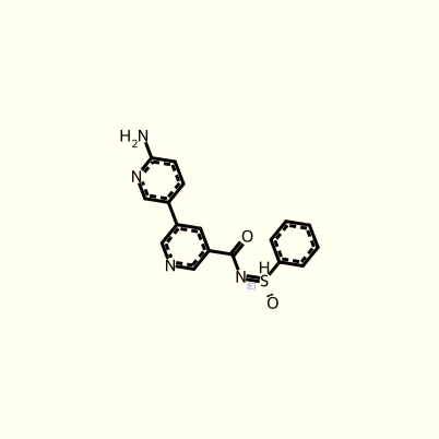 Nc1ccc(-c2cncc(C(=O)/N=[SH](=O)\c3ccccc3)c2)cn1